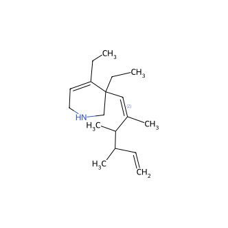 C=CC(C)C(C)/C(C)=C\C1(CC)CNCC=C1CC